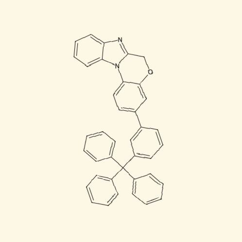 c1ccc(C(c2ccccc2)(c2ccccc2)c2cccc(-c3ccc4c(c3)OCc3nc5ccccc5n3-4)c2)cc1